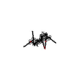 [C-]#[N+]c1c(C)nn(-c2cc(C(=O)OCCCCCCCC)cc(C(=O)OCCCCCCCC)c2)c1N=Nc1c(C(C)C)nn(-c2nc(OCCCCCCCC)nc(-n3nc(C(C)C)c(N=Nc4c(C#N)c(C)nn4-c4cc(C(=O)OCCCCCCCC)cc(C(=O)OCCCCCCCC)c4)c3N)n2)c1N